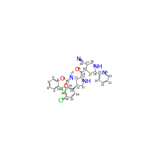 CN(C(=O)Oc1ccccc1Cl)[C@@H]1C(C(=O)C2CC(c3ccccn3)NCC2C#N)NC[C@H]1c1ccc(Cl)cc1